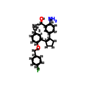 N#CC(=O)c1cc(C2=C(c3cc(C(F)(F)F)ccc3OCc3ccc(F)cc3)CCC2)ccc1N